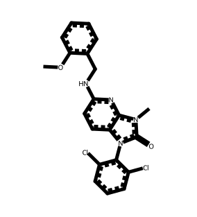 COc1ccccc1CNc1ccc2c(n1)n(C)c(=O)n2-c1c(Cl)cccc1Cl